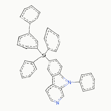 c1ccc(-c2cccc([Si](c3ccccc3)(c3ccccc3)c3ccc4c(c3)c3ccncc3n4-c3ccccc3)c2)cc1